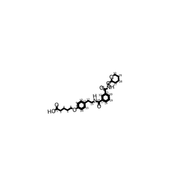 O=C(O)CCCCOc1ccc(CCNC(=O)c2cccc(C(=O)NOC3CCCCO3)c2)cc1